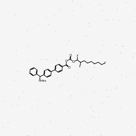 CCCCCCC(c1ccccc1)c1ccc(-c2ccc(C(=O)OC(=O)OC(F)C(F)CCCCCCF)cc2)cc1